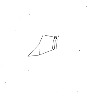 C1#[N+]CC2CC12